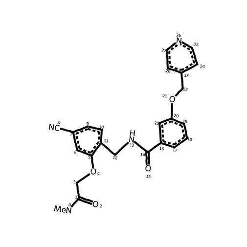 CNC(=O)COc1cc(C#N)ccc1CNC(=O)c1cccc(OCc2ccncc2)c1